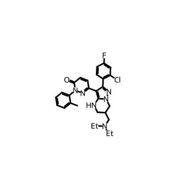 CCN(CC)CC1CNc2c(-c3ccc(=O)n(-c4ccccc4C)n3)c(-c3ccc(F)cc3Cl)nn2C1